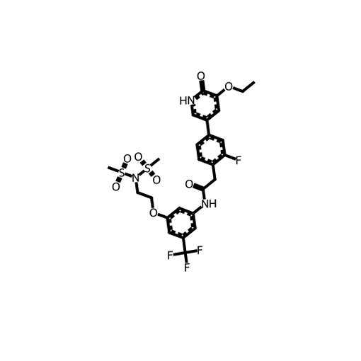 CCOc1cc(-c2ccc(CC(=O)Nc3cc(OCCN(S(C)(=O)=O)S(C)(=O)=O)cc(C(F)(F)F)c3)c(F)c2)c[nH]c1=O